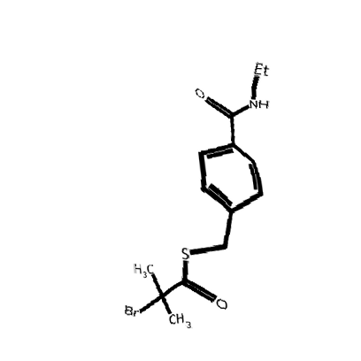 CCNC(=O)c1ccc(CSC(=O)C(C)(C)Br)cc1